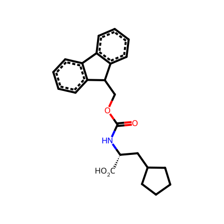 O=C(N[C@H](CC1CCCC1)C(=O)O)OCC1c2ccccc2-c2ccccc21